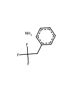 FC(F)(F)Cc1ccccc1.N